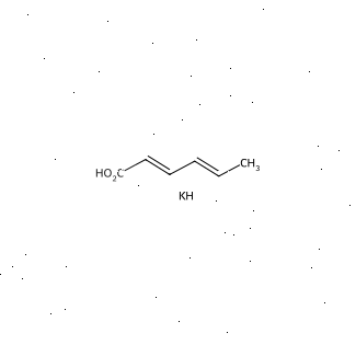 CC=CC=CC(=O)O.[KH]